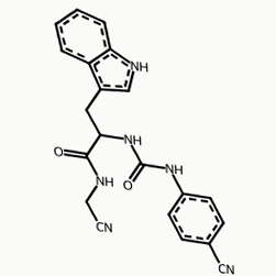 N#CCNC(=O)C(Cc1c[nH]c2ccccc12)NC(=O)Nc1ccc(C#N)cc1